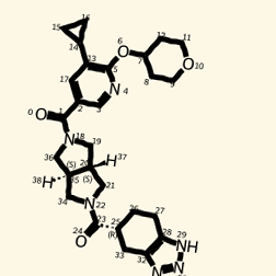 O=C(c1cnc(OC2CCOCC2)c(C2CC2)c1)N1C[C@@H]2CN(C(=O)[C@@H]3CCc4[nH]nnc4C3)C[C@H]2C1